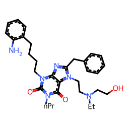 CCCn1c(=O)c2c(nc(Cc3ccccc3)n2CCN(CC)CCO)n(CCCCc2ccccc2N)c1=O